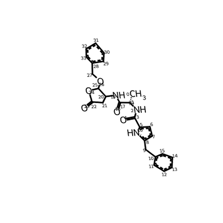 C[C@H](NC(=O)c1ccc(Cc2ccccc2)[nH]1)C(=O)NC1CC(=O)OC1OCc1ccccc1